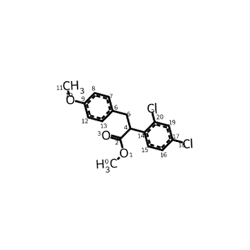 COC(=O)C(Cc1ccc(OC)cc1)c1ccc(Cl)cc1Cl